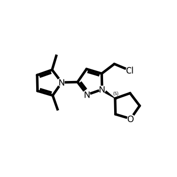 Cc1ccc(C)n1-c1cc(CCl)n([C@H]2CCOC2)n1